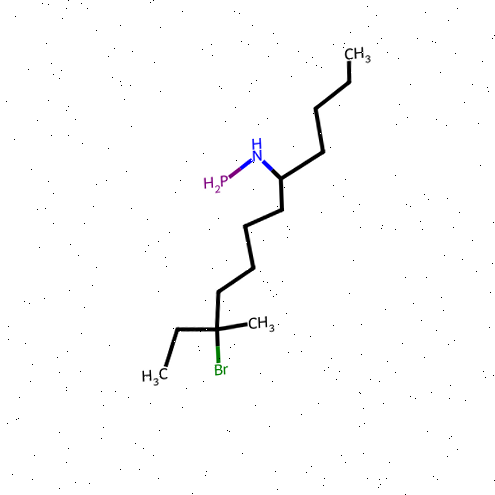 CCCCC(CCCCC(C)(Br)CC)NP